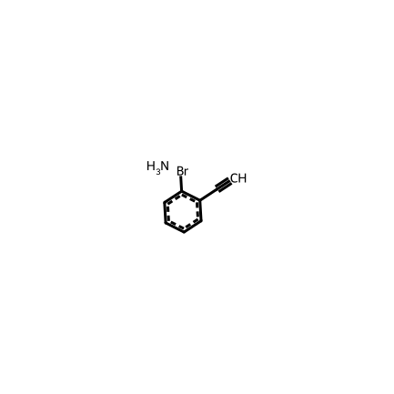 C#Cc1ccccc1Br.N